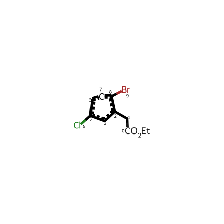 CCOC(=O)Cc1cc(Cl)ccc1Br